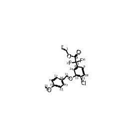 CCOC(=O)C(F)(F)c1ccc(Cl)c(OCc2ccc(OC)cc2)c1